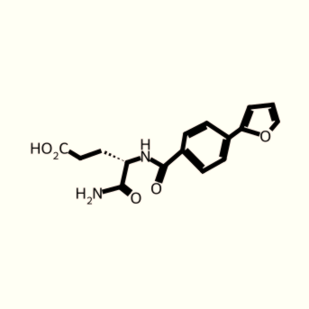 NC(=O)[C@H](CCC(=O)O)NC(=O)c1ccc(-c2ccco2)cc1